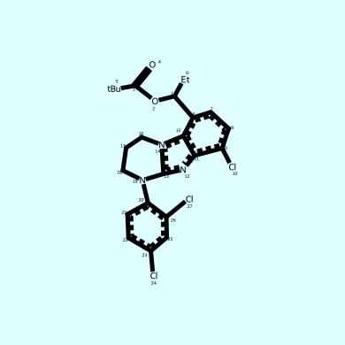 CCC(OC(=O)C(C)(C)C)c1ccc(Cl)c2nc3n(c12)CCCN3c1ccc(Cl)cc1Cl